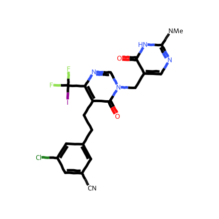 CNc1ncc(Cn2cnc(C(F)(F)I)c(CCc3cc(Cl)cc(C#N)c3)c2=O)c(=O)[nH]1